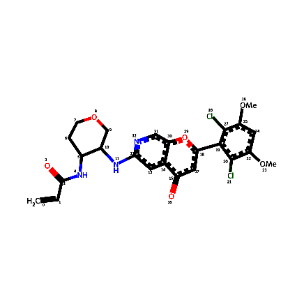 C=CC(=O)NC1CCOCC1Nc1cc2c(=O)cc(-c3c(Cl)c(OC)cc(OC)c3Cl)oc2cn1